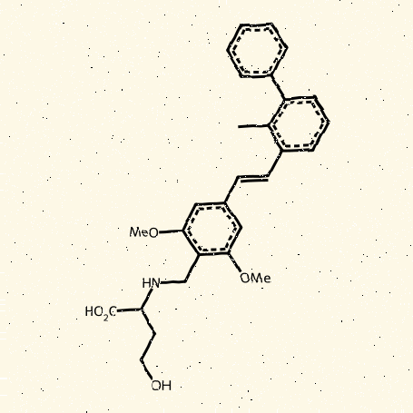 COc1cc(C=Cc2cccc(-c3ccccc3)c2C)cc(OC)c1CNC(CCO)C(=O)O